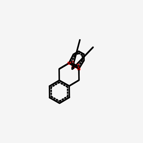 CC1(C)OC2C3c4ccccc4C(c4ccccc43)C2O1